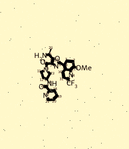 COc1ccc(-c2nc(C(=O)N3CC[C@H](NC(=O)c4ccccn4)C3)c([C@H](C)N)o2)c2ccc(C(F)(F)F)nc12